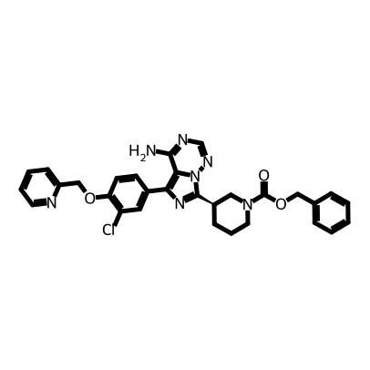 Nc1ncnn2c([C@@H]3CCCN(C(=O)OCc4ccccc4)C3)nc(-c3ccc(OCc4ccccn4)c(Cl)c3)c12